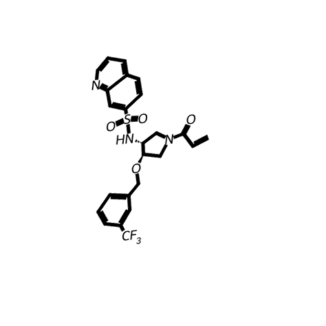 C=CC(=O)N1C[C@@H](NS(=O)(=O)c2ccc3cccnc3c2)[C@H](OCc2cccc(C(F)(F)F)c2)C1